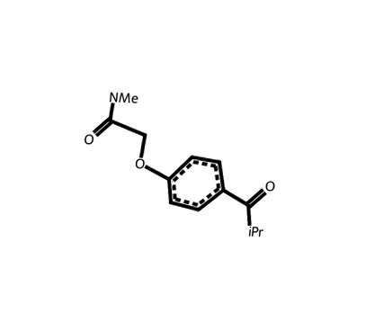 CNC(=O)COc1ccc(C(=O)C(C)C)cc1